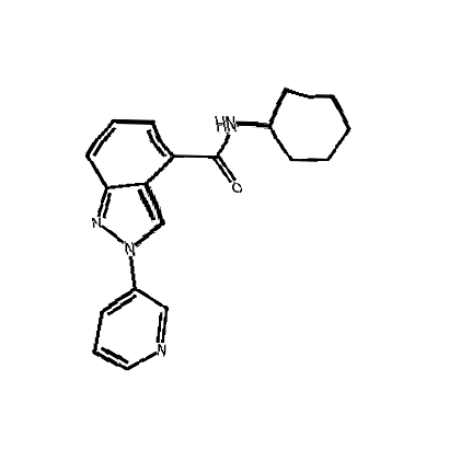 O=C(NC1CCCCC1)c1cccc2nn(-c3cccnc3)cc12